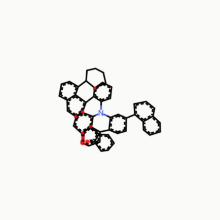 c1ccc(-c2ccc(-c3cccc4ccccc34)cc2N(c2ccccc2-c2cccc3cccc(C4CCCCC4)c23)c2cccc3oc4ccccc4c23)cc1